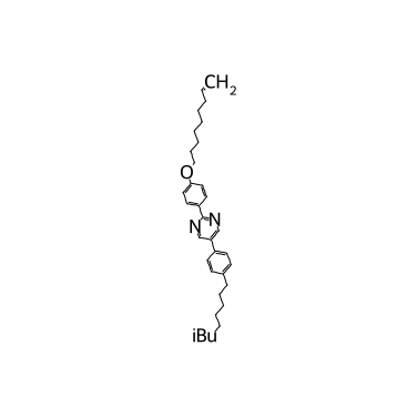 C=CCCCCCCCOc1ccc(-c2ncc(-c3ccc(CCCCCC(C)CC)cc3)cn2)cc1